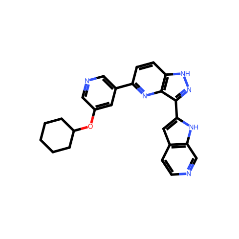 c1cc2cc(-c3n[nH]c4ccc(-c5cncc(OC6CCCCC6)c5)nc34)[nH]c2cn1